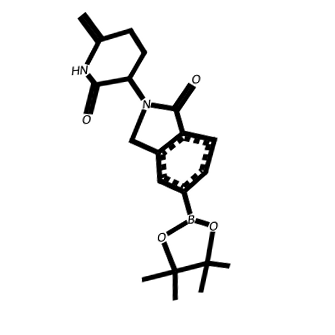 C=C1CCC(N2Cc3cc(B4OC(C)(C)C(C)(C)O4)ccc3C2=O)C(=O)N1